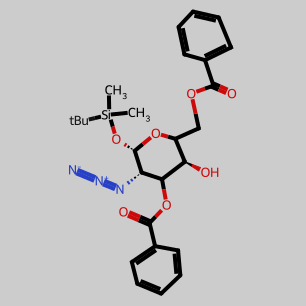 CC(C)(C)[Si](C)(C)O[C@@H]1OC(COC(=O)c2ccccc2)[C@@H](O)C(OC(=O)c2ccccc2)[C@@H]1N=[N+]=[N-]